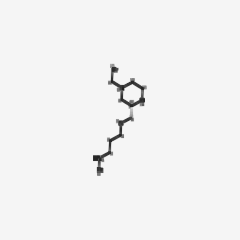 CCNCCCOC[C@@H]1CN(CC(C)C)CCO1